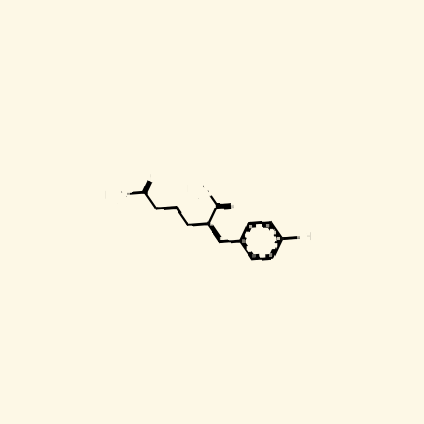 NC(=O)CCCC(=Cc1ccc(O)cc1)C(N)=O